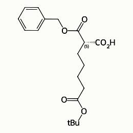 CC(C)(C)OC(=O)CCCC[C@@H](C(=O)O)C(=O)OCc1ccccc1